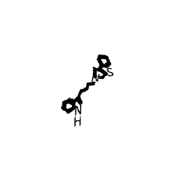 c1ccc2c(CCCCN3CCc4c(sc5ccccc45)C3)c[nH]c2c1